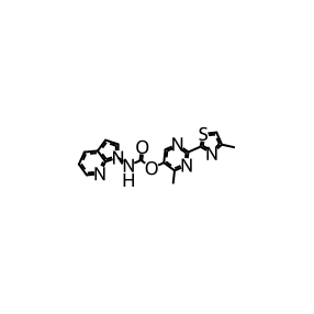 Cc1csc(-c2ncc(OC(=O)Nn3ccc4cccnc43)c(C)n2)n1